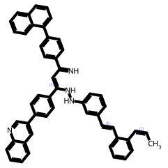 C/C=C\c1ccccc1/C=C/c1cccc(NN/C(=C\C(=N)c2ccc(-c3cccc4ccccc34)cc2)c2ccc(-c3cnc4ccccc4c3)cc2)c1